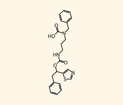 O=C(NCCCN(Cc1ccccc1)C(=O)O)OC(Cc1ccccc1)c1cncs1